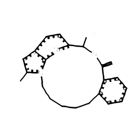 CC(C)c1cc2ccc3nc2n1CCCCCc1ccccc1C(=O)NC3C